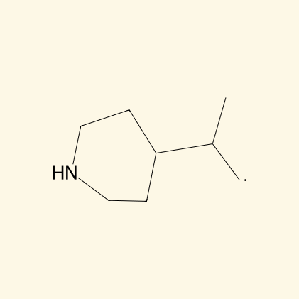 [CH2]C(C)C1CCNCC1